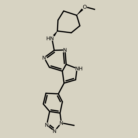 CO[C@H]1CC[C@@H](Nc2ncc3c(-c4ccc5nnn(C)c5c4)c[nH]c3n2)CC1